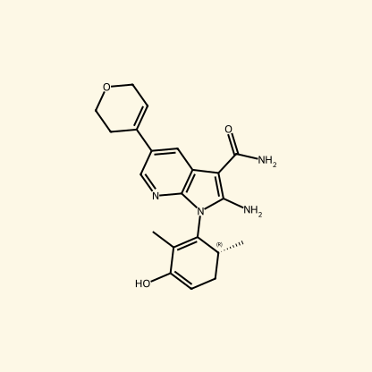 CC1=C(n2c(N)c(C(N)=O)c3cc(C4=CCOCC4)cnc32)[C@H](C)CC=C1O